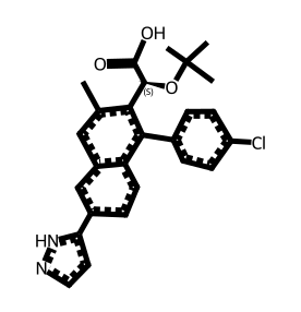 Cc1cc2cc(-c3ccn[nH]3)ccc2c(-c2ccc(Cl)cc2)c1[C@H](OC(C)(C)C)C(=O)O